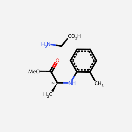 COC(=O)[C@H](C)Nc1ccccc1C.NCC(=O)O